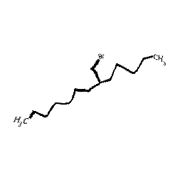 CCCCCCCC(CBr)CCCCC